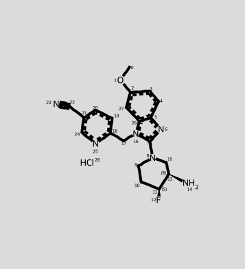 COc1ccc2nc(N3CC[C@H](F)[C@H](N)C3)n(Cc3ccc(C#N)cn3)c2c1.Cl